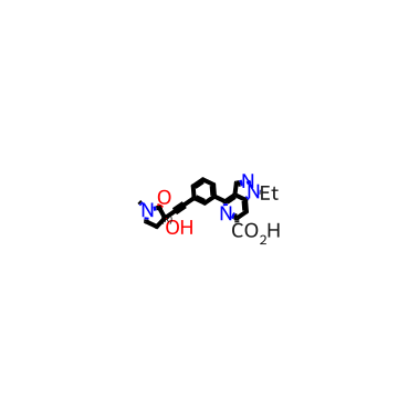 CCn1ncc2c(-c3cccc(C#C[C@]4(O)CCN(C)C4=O)c3)nc(C(=O)O)cc21